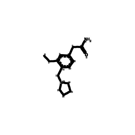 CCc1cc(CC(N)=O)ccc1CN1CCCC1